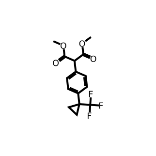 COC(=O)C(C(=O)OC)c1ccc(C2(C(F)(F)F)CC2)cc1